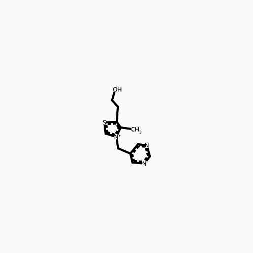 Cc1c(CCO)sc[n+]1Cc1cncnc1